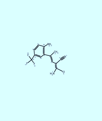 C/C(=C\C(C#N)=C(/N)Cl)c1cc(C(F)(F)F)ccc1N